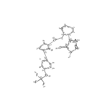 Cn1nnn(-c2ccccc2COc2nc(-c3ccc(OC(F)(F)F)cc3)cs2)c1=O